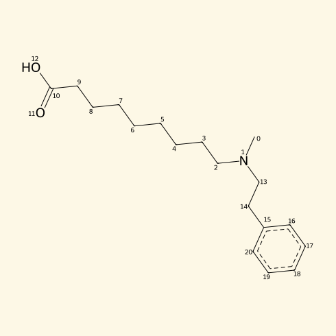 CN(CCCCCCCCC(=O)O)CCc1ccccc1